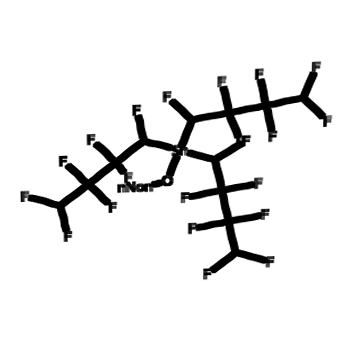 CCCCCCCCC[O][Sn]([CH](F)C(F)(F)C(F)(F)C(F)F)([CH](F)C(F)(F)C(F)(F)C(F)F)[CH](F)C(F)(F)C(F)(F)C(F)F